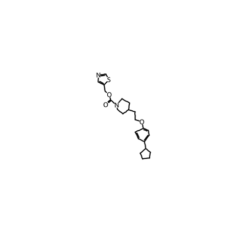 O=C(OCc1cncs1)N1CCC(CCOc2ccc(C3CCCC3)cc2)CC1